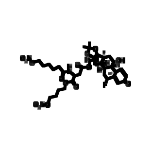 CC1(C)O[C@@H]2C[C@H]3[C@@H]4C[C@H](F)C5=CC(=O)C=C[C@]5(C)[C@H]4[C@@H](O)C[C@]3(C)[C@]2(C(=O)COC(=O)CC(NC(=O)CCCCCO[N+](=O)[O-])C(=O)OCCCCO[N+](=O)[O-])O1